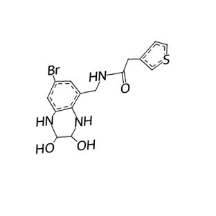 O=C(Cc1ccsc1)NCc1cc(Br)cc2c1NC(O)C(O)N2